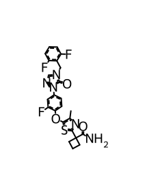 Cc1nc(C2(C(N)=O)CCC2)sc1Oc1ccc(-n2ncn(Cc3c(F)cccc3F)c2=O)cc1F